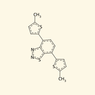 Cc1ccc(-c2ccc(-c3ccc(C)s3)c3snnc23)s1